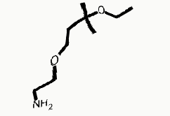 CCOC(C)(C)CCOCCN